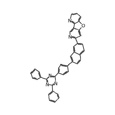 c1ccc(-c2nc(-c3ccccc3)nc(-c3ccc(-c4ccc5ccc(-c6cc7oc8cccnc8c7cn6)cc5c4)cc3)n2)cc1